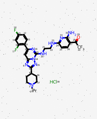 CC(C)N1CCC(c2nc3cc(-c4ccc(F)cc4F)nc(NCCNc4ccc(C(=O)C(F)(F)F)c(N)n4)n3n2)CC1.Cl